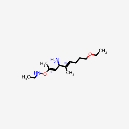 CCNO/C(C)=C/C(N)/C(C)=C/CCCOCC